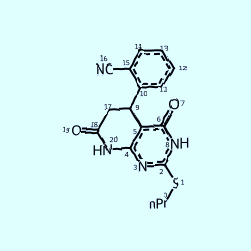 CCCSc1nc2c(c(=O)[nH]1)C(c1ccccc1C#N)CC(=O)N2